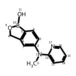 CN(c1ccc2c(c1)COB2O)c1ccccn1